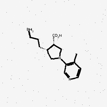 BCCC[C@H]1CN(c2cnccc2C)C[C@H]1C(=O)O